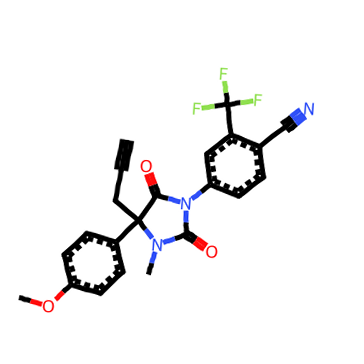 C#CCC1(c2ccc(OC)cc2)C(=O)N(c2ccc(C#N)c(C(F)(F)F)c2)C(=O)N1C